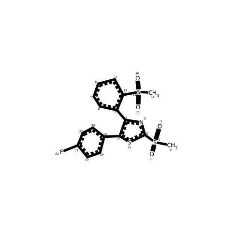 CS(=O)(=O)c1nc(-c2ccccc2S(C)(=O)=O)c(-c2ccc(F)cc2)s1